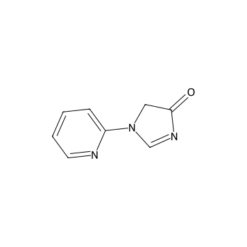 O=C1CN(c2ccccn2)C=N1